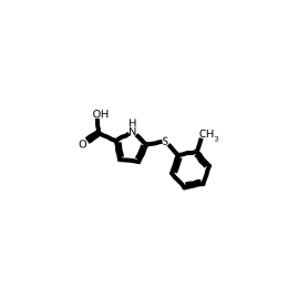 Cc1ccccc1Sc1ccc(C(=O)O)[nH]1